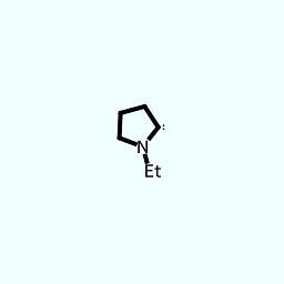 CCN1[C]CCC1